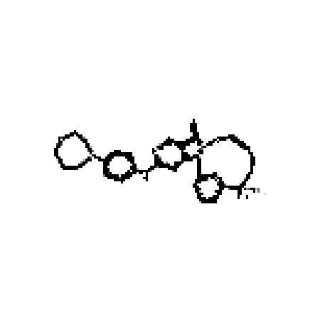 C[C@@]1(O)CC/C=C\Cn2c(=O)c3cnc(Nc4ccc(N5CCCNCC5)cc4)nc3n2-c2cccc1n2